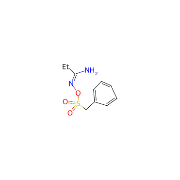 CCC(N)=NOS(=O)(=O)Cc1ccccc1